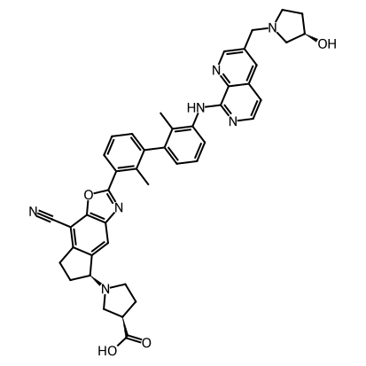 Cc1c(Nc2nccc3cc(CN4CC[C@@H](O)C4)cnc23)cccc1-c1cccc(-c2nc3cc4c(c(C#N)c3o2)CC[C@@H]4N2CC[C@@H](C(=O)O)C2)c1C